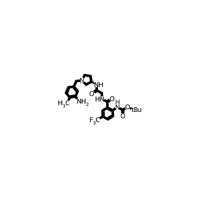 Cc1ccc(CN2CC[C@@H](NC(=O)CNC(=O)c3cc(C(F)(F)F)ccc3NC(=O)OC(C)(C)C)C2)cc1N